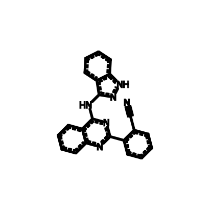 N#Cc1ccccc1-c1nc(Nc2n[nH]c3ccccc23)c2ccccc2n1